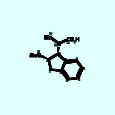 CO[C@H]1Cc2ccccc2[C@H]1N(C(=O)O)C(C)(C)C